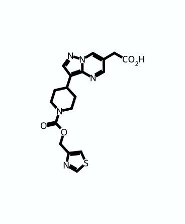 O=C(O)Cc1cnc2c(C3CCN(C(=O)OCc4cscn4)CC3)cnn2c1